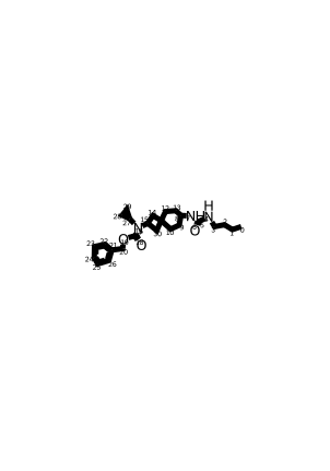 CCCCNC(=O)NC1CCC2(CC1)CC(N(C(=O)OCc1ccccc1)C1CC1)C2